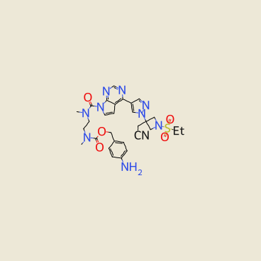 CCS(=O)(=O)N1CC(CC#N)(n2cc(-c3ncnc4c3ccn4C(=O)N(C)CCN(C)C(=O)OCc3ccc(N)cc3)cn2)C1